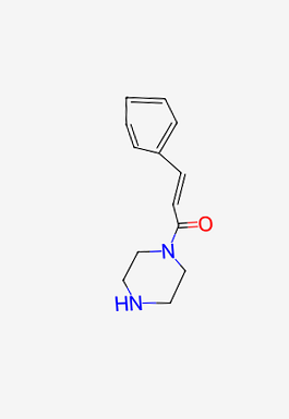 O=C(C=Cc1ccccc1)N1CCNCC1